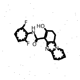 O=C(Nc1c(F)cccc1F)C1=C(O)CCc2c1nc1ccccn21